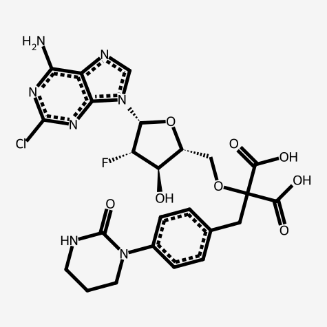 Nc1nc(Cl)nc2c1ncn2[C@@H]1O[C@H](COC(Cc2ccc(N3CCCNC3=O)cc2)(C(=O)O)C(=O)O)[C@@H](O)[C@@H]1F